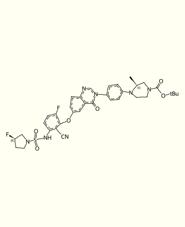 C[C@H]1CN(C(=O)OC(C)(C)C)CCN1c1ccc(-n2cnc3ccc(Oc4c(F)ccc(NS(=O)(=O)N5CC[C@@H](F)C5)c4C#N)cc3c2=O)cc1